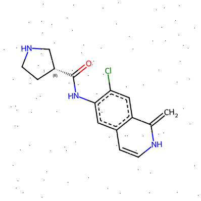 C=C1NC=Cc2cc(NC(=O)[C@@H]3CCNC3)c(Cl)cc21